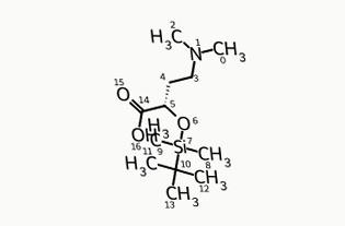 CN(C)CC[C@H](O[Si](C)(C)C(C)(C)C)C(=O)O